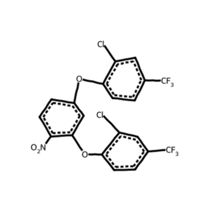 O=[N+]([O-])c1ccc(Oc2ccc(C(F)(F)F)cc2Cl)cc1Oc1ccc(C(F)(F)F)cc1Cl